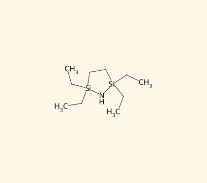 CC[Si]1(CC)CC[Si](CC)(CC)N1